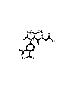 CC(=O)N(c1ccc(C(=O)O)c(C(=O)O)c1)[C@H](C(=O)NCC(=O)O)C(C)C